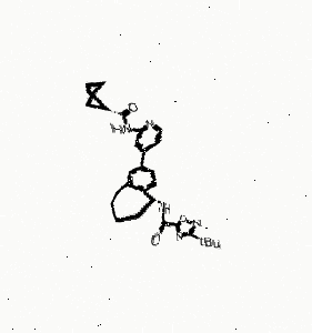 CC(C)(C)c1noc(C(=O)N[C@H]2CCCCc3cc(-c4ccnc(NC(=O)[C@@H]5CC56CC6)c4)ccc32)n1